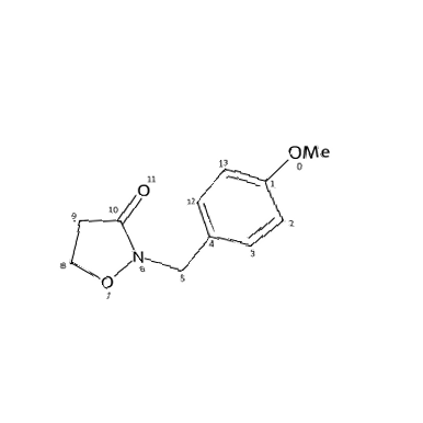 COc1ccc(CN2OC[CH]C2=O)cc1